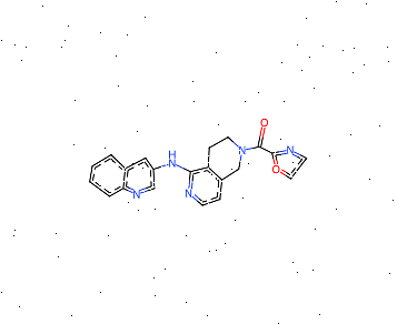 O=C(c1ncco1)N1CCc2c(ccnc2Nc2cnc3ccccc3c2)C1